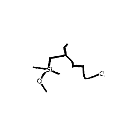 CO[Si](C)(C)CC(C)CCCCl